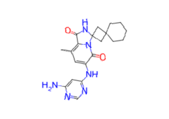 Cc1cc(Nc2cc(N)ncn2)c(=O)n2c1C(=O)NC21CC2(CCCCC2)C1